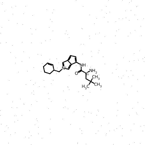 CC(C)(C)C[C@H](N)C(=O)NC1=CC=C2C=[N+](CC3C=CCCC3)C=C21